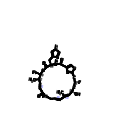 CC1=C\[C@@H](O)C[C@@H](F)Cc2nc(co2)C(=O)N[C@H](Cc2c[nH]cn2)C(=O)O[C@H](C(C)C)[C@H](C)/C=C/C(=O)NC\C=C\1